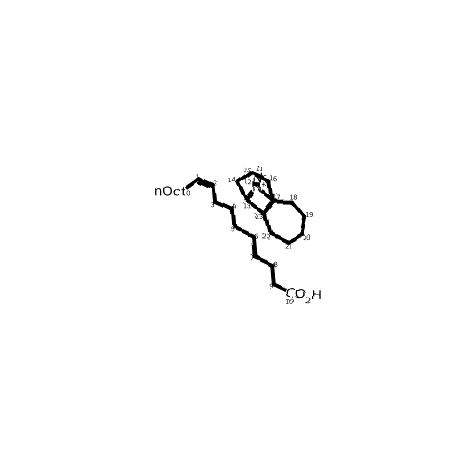 CCCCCCCC/C=C\CCCCCCCC(=O)O.[N-]=[N+]1C2CCCC13CCCCCC23